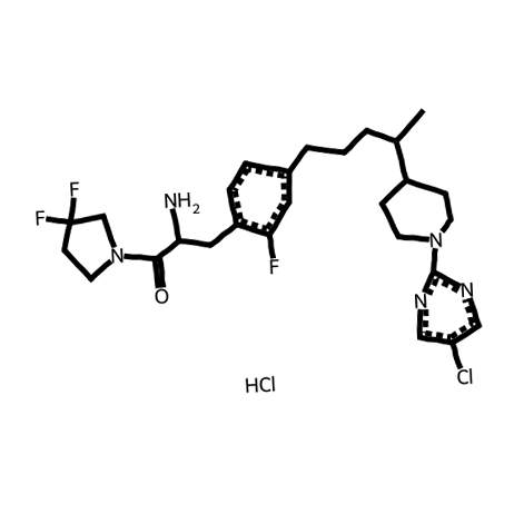 CC(CCCc1ccc(CC(N)C(=O)N2CCC(F)(F)C2)c(F)c1)C1CCN(c2ncc(Cl)cn2)CC1.Cl